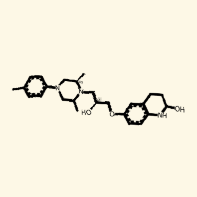 Cc1ccc(N2CC(C)N(C[C@H](O)COc3ccc4c(c3)CCC(O)N4)[C@H](C)C2)cc1